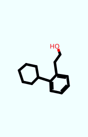 OCCc1ccccc1C1CCCCC1